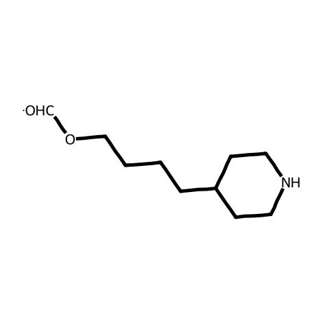 O=[C]OCCCCC1CCNCC1